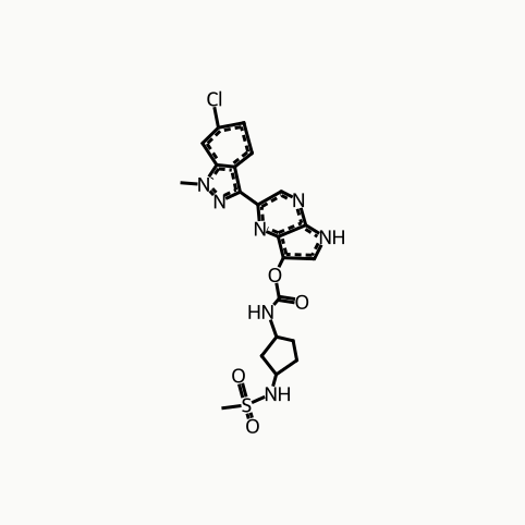 Cn1nc(-c2cnc3[nH]cc(OC(=O)NC4CCC(NS(C)(=O)=O)C4)c3n2)c2ccc(Cl)cc21